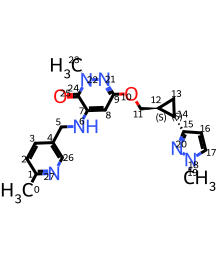 Cc1ccc(CNc2cc(OC[C@H]3C[C@@H]3c3ccn(C)n3)nn(C)c2=O)cn1